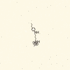 CCCc1ccc(NCCCCCNS(=O)(=O)C(C)(C)C)cc1